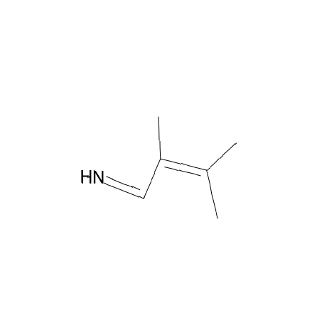 CC(C)=C(C)C=N